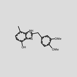 COc1ccc(Cc2nc3c(O)ccc(C)c3[nH]2)cc1OC